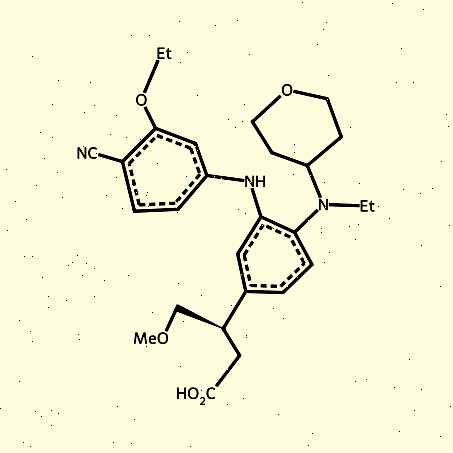 CCOc1cc(Nc2cc([C@H](COC)CC(=O)O)ccc2N(CC)C2CCOCC2)ccc1C#N